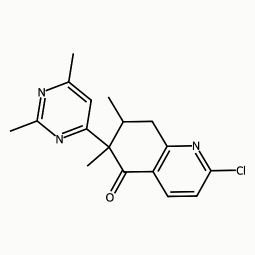 Cc1cc(C2(C)C(=O)c3ccc(Cl)nc3CC2C)nc(C)n1